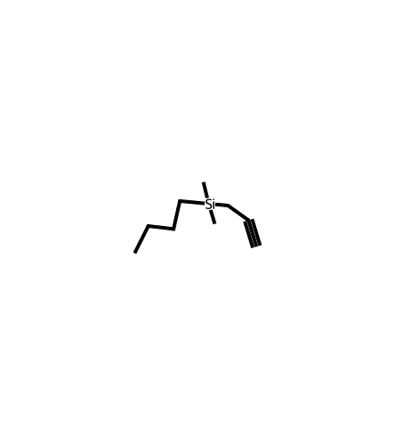 C#CC[Si](C)(C)CCCC